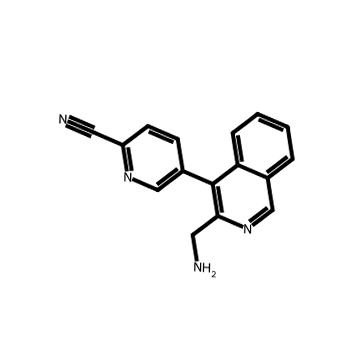 N#Cc1ccc(-c2c(CN)ncc3ccccc23)cn1